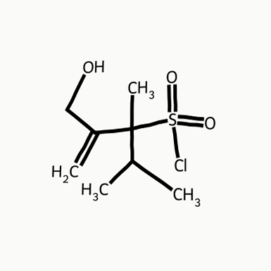 C=C(CO)C(C)(C(C)C)S(=O)(=O)Cl